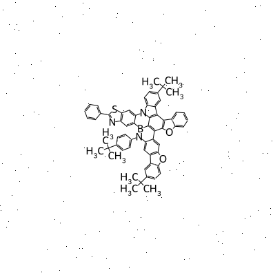 CC(C)(C)c1ccc(N2B3c4cc5nc(-c6ccccc6)sc5cc4-n4c5ccc(C(C)(C)C)cc5c5c6c(oc7ccccc76)c(c3c54)-c3cc4oc5ccc(C(C)(C)C)cc5c4cc32)cc1